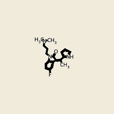 C/C(=C1/C(=O)N(CCCN(C)C)c2ccc(F)cc21)c1ccc[nH]1